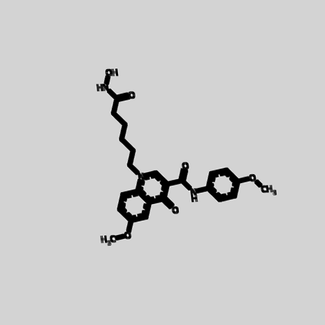 COc1ccc(NC(=O)c2cn(CCCCCC(=O)NO)c3ccc(OC)cc3c2=O)cc1